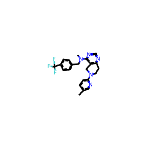 Cc1ccc(N2CCc3ncnc(N(C)Cc4ccc(C(F)(F)F)cc4)c3C2)nc1